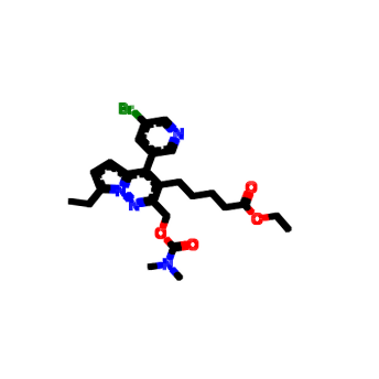 CCOC(=O)CCCCc1c(COC(=O)N(C)C)nn2c(CC)ccc2c1-c1cncc(Br)c1